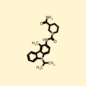 Cc1c(NC(=O)N2CCCC(C(N)=O)C2)ccc2c1c1ccccc1n2C(C)C